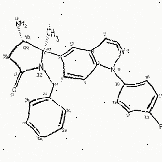 C[C@@]1(c2ccc3c(cnn3-c3ccc(F)cc3)c2)[C@@H](N)CC(=O)N1Cc1ccccc1